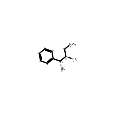 CNC[C@@H](C)[C@@H](c1ccccc1)C(C)(C)C